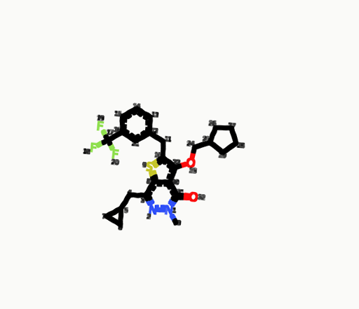 Cn1nc(CC2CC2)c2sc(Cc3cccc(C(F)(F)F)c3)c(OCC3CCCC3)c2c1=O